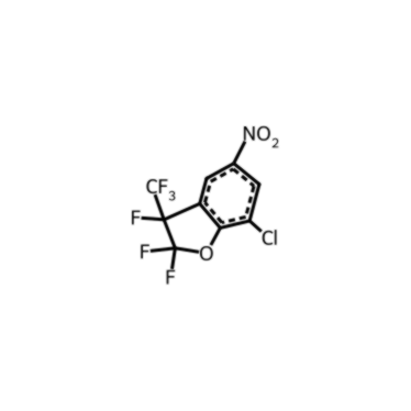 O=[N+]([O-])c1cc(Cl)c2c(c1)C(F)(C(F)(F)F)C(F)(F)O2